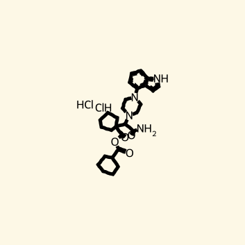 Cl.Cl.NC(=O)C(N1CCN(c2cccc3[nH]ccc23)CC1)C1(C(=O)OC(=O)C2CCCCC2)CCCCC1